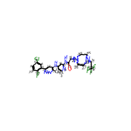 Cc1nnc(-c2cc(Cl)ccc2F)cc1Nc1ccnc(NC(=O)CN2CCN(CC(F)(F)F)CC2)c1